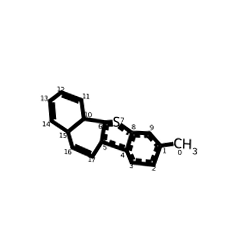 Cc1ccc2c3c(sc2c1)C1C=CC=CC1C=C3